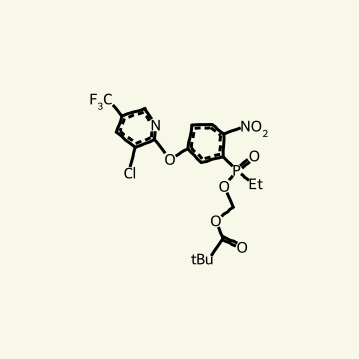 CCP(=O)(OCOC(=O)C(C)(C)C)c1cc(Oc2ncc(C(F)(F)F)cc2Cl)ccc1[N+](=O)[O-]